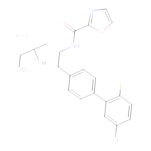 COC[C@](C)(C[C@@H](Cc1ccc(-c2cc(Cl)ccc2F)cc1)NC(=O)c1ncco1)C(=O)O